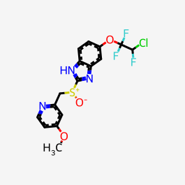 COc1ccnc(C[S+]([O-])c2nc3cc(OC(F)(F)C(F)Cl)ccc3[nH]2)c1